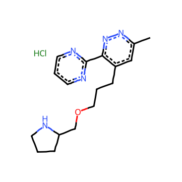 Cc1cc(CCCOCC2CCCN2)c(-c2ncccn2)nn1.Cl